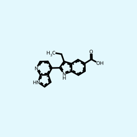 CCc1c(-c2ccnc3[nH]ccc23)[nH]c2ccc(C(=O)O)cc12